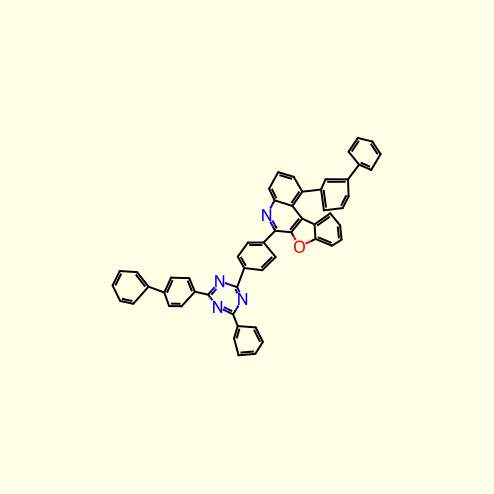 c1ccc(-c2ccc(-c3nc(-c4ccccc4)nc(-c4ccc(-c5nc6cccc(-c7cccc(-c8ccccc8)c7)c6c6c5oc5ccccc56)cc4)n3)cc2)cc1